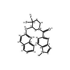 Cn1ccc2cc(C(=O)N3CCC(F)(F)C(Oc4ccc5ccccc5n4)C3)ccc21